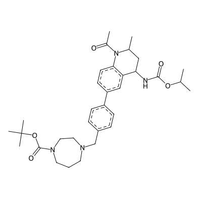 CC(=O)N1c2ccc(-c3ccc(CN4CCCN(C(=O)OC(C)(C)C)CC4)cc3)cc2C(NC(=O)OC(C)C)CC1C